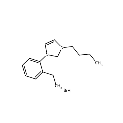 Br.CCCCN1C=CN(c2ccccc2CC)C1